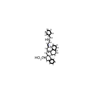 O=C(O)N1Cc2ccccc2CC1CN(C/C=C/CNCc1cccnc1)C1CCCc2cccnc21